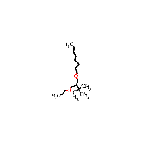 CCCCCCCCOCC(COCCC)C(C)(C)C